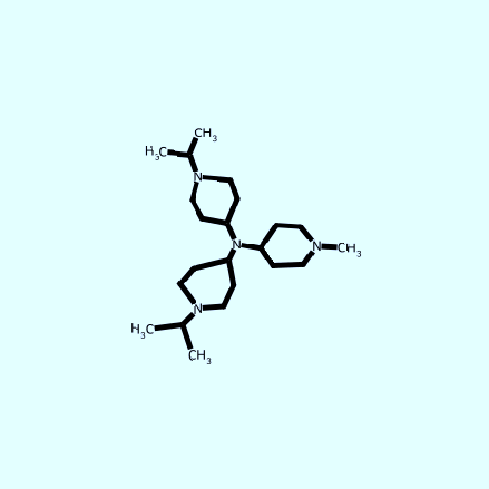 CC(C)N1CCC(N(C2CCN(C)CC2)C2CCN(C(C)C)CC2)CC1